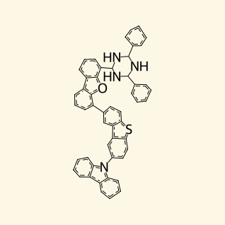 c1ccc(C2NC(c3ccccc3)NC(c3cccc4c3oc3c(-c5ccc6sc7ccc(-n8c9ccccc9c9ccccc98)cc7c6c5)cccc34)N2)cc1